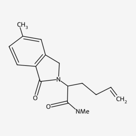 C=CCCC(C(=O)NC)N1Cc2cc(C)ccc2C1=O